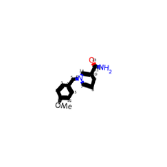 COc1ccc(CN2C=CCC(C(N)=O)=C2)cc1